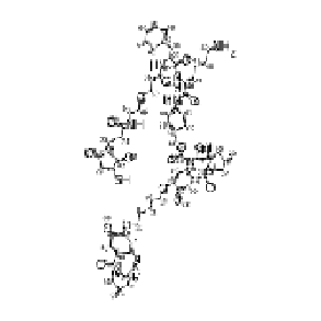 C=C1C[C@H]2C=Nc3cc(OCCCCCOc4cc5c(cc4OC)C(=O)N4CC(=C)C[C@H]4[C@H](O)N5C(=O)OCc4ccc(NC(=O)[C@H](CCCCN)NC(=O)[C@H](Cc5ccccc5)NC(=O)CCOCCNC(=O)CCN5C(=O)CC(S)C5=O)cc4)c(OC)cc3C(=O)N2C1